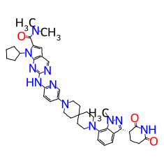 CN(C)C(=O)c1cc2cnc(Nc3ccc(N4CCC5(CC4)CCN(c4cccc6c([C@H]7CCC(=O)NC7=O)nn(C)c46)CC5)cn3)nc2n1C1CCCC1